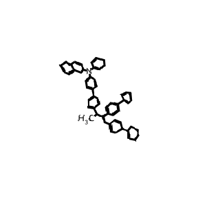 CC(c1ccc(-c2ccc(N(C3=CCCC=C3)C3C=Cc4ccccc4C3)cc2)cc1)C(CC1=CCC(C2=CCCCC2)C=C1)c1ccc(-c2ccccc2)cc1